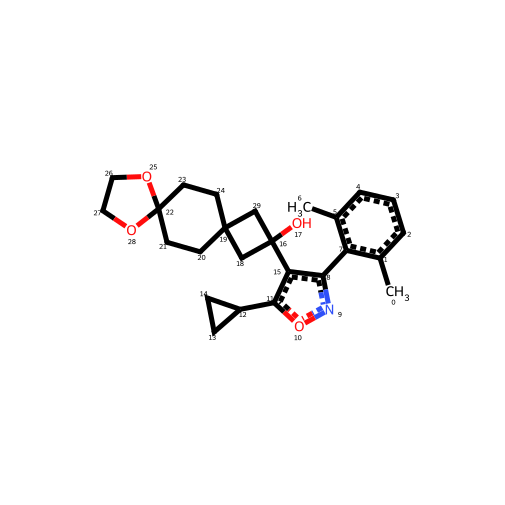 Cc1cccc(C)c1-c1noc(C2CC2)c1C1(O)CC2(CCC3(CC2)OCCO3)C1